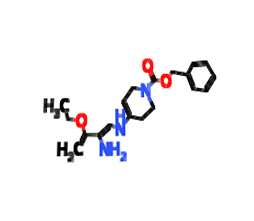 C=C(OCC)/C(N)=C/NC1=CCN(C(=O)OCc2ccccc2)CC1